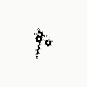 Cc1cc(=O)[nH]c2ccc(OCCCC=S=O)cc12.c1ccncc1